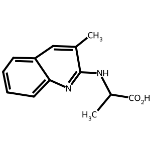 Cc1cc2ccccc2nc1NC(C)C(=O)O